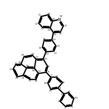 c1ccc(-c2ccc(-c3cc(-c4ccc(-c5ccnc6ccccc56)cc4)c4ccc5cccc6ccc3c4c65)cc2)cc1